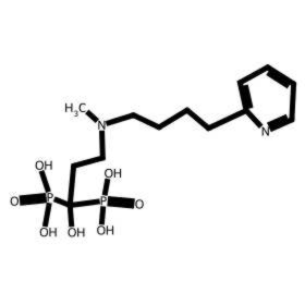 CN(CCCCc1ccccn1)CCC(O)(P(=O)(O)O)P(=O)(O)O